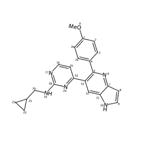 COc1ccc(-c2nc3cc[nH]c3cc2-c2ccnc(NCC3CC3)n2)cc1